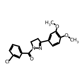 COc1ccc(C2=NN(C(=O)c3cccc(Cl)c3)CC2)cc1OC